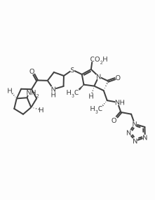 C[C@@H](NC(=O)Cn1cnnn1)[C@H]1C(=O)N2C(C(=O)O)=C(SC3CNC(C(=O)C4C[C@H]5CC[C@@H](C4)C5N)C3)[C@H](C)[C@H]12